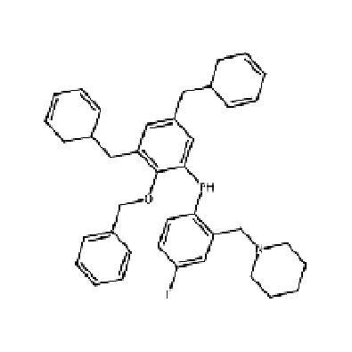 Fc1ccc(Pc2cc(CC3C=CC=CC3)cc(CC3C=CC=CC3)c2OCc2ccccc2)c(CN2CCCCC2)c1